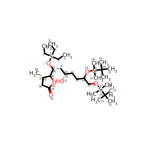 CC[Si](CC)(CC)O[C@H](C[C@@H](O)CCC(CO[Si](C)(C)C(C)(C)C)O[Si](C)(C)C(C)(C)C)C1OC(=O)C[C@@H]1C